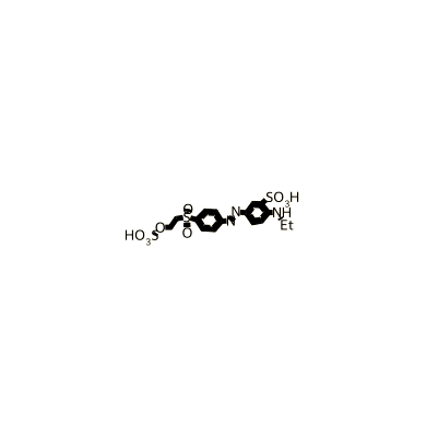 CCNc1ccc(/N=N/c2ccc(S(=O)(=O)CCOS(=O)(=O)O)cc2)cc1S(=O)(=O)O